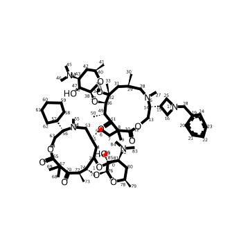 CO[C@]1(C)C[C@@H](CCC2(C)C(=O)OC[C@@H](C3CN(Cc4ccccc4)C3)N(C)C[C@H](C)C[C@@](C)(OC)[C@H](O[C@@H]3O[C@H](C)C[C@H](N(C)C)[C@H]3O)[C@@H](C)C2=O)CN(C)[C@@H](C2CCCCC2)COC(=O)C(C)(C)C(=O)[C@H](C)[C@H]1O[C@@H]1O[C@H](C)C[C@H](N(C)C)[C@H]1O